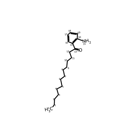 CCCCCCCCCCCCCC(=O)c1ccc[c]c1N